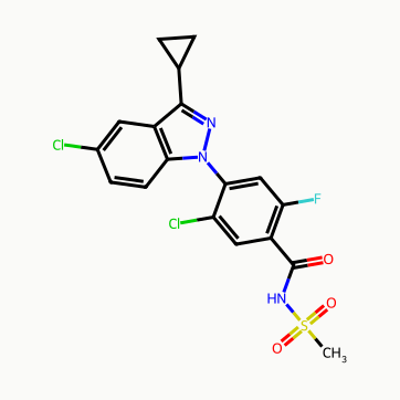 CS(=O)(=O)NC(=O)c1cc(Cl)c(-n2nc(C3CC3)c3cc(Cl)ccc32)cc1F